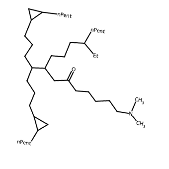 CCCCCC(CC)CCCC(CC(=O)CCCCCN(C)C)C(CCCC1CC1CCCCC)CCCC1CC1CCCCC